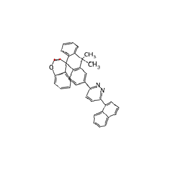 CC1(C)c2ccccc2C2(c3ccccc3Oc3ccccc32)c2ccc(-c3ccc(-c4cccc5ccccc45)nn3)cc21